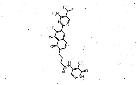 CC[C@@H](CCCn1ccc2cc(-c3ncc(C(F)F)c(N)n3)c(F)c(F)c2c1=O)Nc1cn[nH]c(=O)c1C(F)(F)F